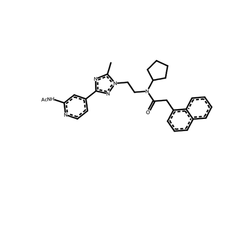 CC(=O)Nc1cc(-c2nc(C)n(CCN(C(=O)Cc3cccc4ccccc34)C3CCCC3)n2)ccn1